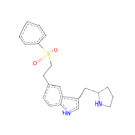 O=S(=O)(CCc1ccc2[nH]cc(CC3CCCN3)c2c1)c1ccccc1